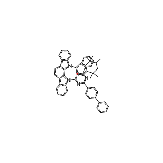 CC1CC(C)(C)c2ccc(-n3c4ccccc4c4ccc5c6ccccc6n(-c6nc(-c7ccccc7)nc(-c7ccc(-c8ccccc8)cc7)n6)c5c43)cc2C1(C)C